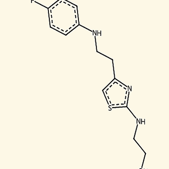 OCCNc1nc(CCNc2ccc(F)cc2)cs1